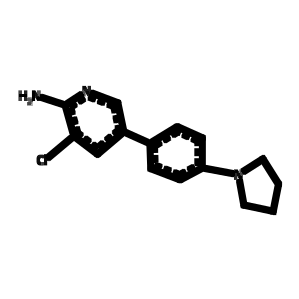 Nc1ncc(-c2ccc(N3CCCC3)cc2)cc1Cl